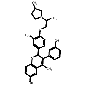 CC1=C(c2cccc(O)c2)C(c2ccc(OCC(C)N3CCC(C)C3)c(C(F)(F)F)c2)Oc2ccc(O)cc21